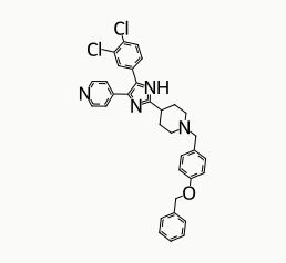 Clc1ccc(-c2[nH]c(C3CCN(Cc4ccc(OCc5ccccc5)cc4)CC3)nc2-c2ccncc2)cc1Cl